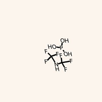 FC(F)(F)NC(F)(F)F.OP(O)O